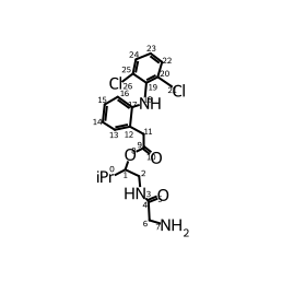 CC(C)C(CNC(=O)CN)OC(=O)Cc1ccccc1Nc1c(Cl)cccc1Cl